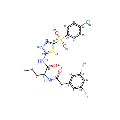 CCCC(NC(=O)Cc1cc(F)cc(F)c1)C(=O)Nc1ncc(S(=O)(=O)c2ccc(Cl)cc2)s1